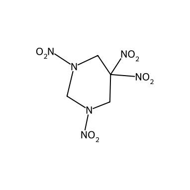 O=[N+]([O-])N1CN([N+](=O)[O-])CC([N+](=O)[O-])([N+](=O)[O-])C1